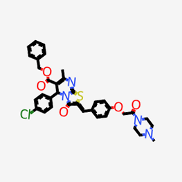 CC1=C(C(=O)OCc2ccccc2)C(c2ccc(Cl)cc2)n2c(s/c(=C\c3ccc(OCC(=O)N4CCN(C)CC4)cc3)c2=O)=N1